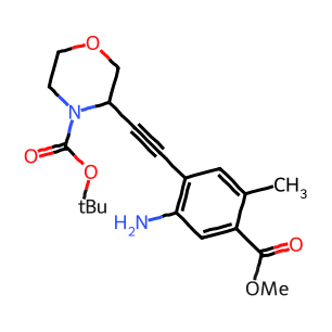 COC(=O)c1cc(N)c(C#CC2COCCN2C(=O)OC(C)(C)C)cc1C